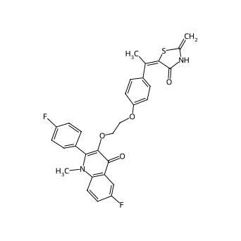 C=c1[nH]c(=O)/c(=C(/C)c2ccc(OCCOc3c(-c4ccc(F)cc4)n(C)c4ccc(F)cc4c3=O)cc2)s1